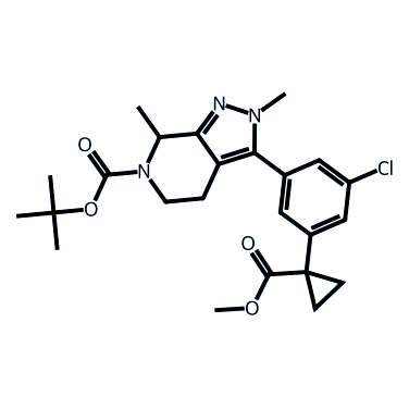 COC(=O)C1(c2cc(Cl)cc(-c3c4c(nn3C)C(C)N(C(=O)OC(C)(C)C)CC4)c2)CC1